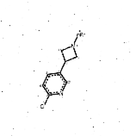 CCCN1CC(c2ccc(Cl)nc2)C1